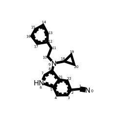 N#Cc1ccc2[nH]cc(N(CCc3ccccc3)C3CC3)c2c1